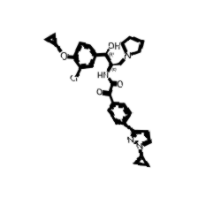 O=C(N[C@H](CN1CCCC1)[C@H](O)c1ccc(OC2CC2)c(Cl)c1)C(=O)c1ccc(-c2ccn(C3CC3)n2)cc1